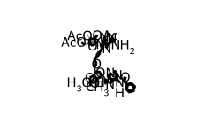 CC(=O)OC[C@H]1O[C@@H](n2c(C#CCOC[C@H]3O[C@@H](n4cnc5c(NC(=O)c6ccccc6)ncnc54)[C@H]4OC(C)(C)OC34)nc3c(N)ncnc32)C(OC(C)=O)[C@H]1OC(C)=O